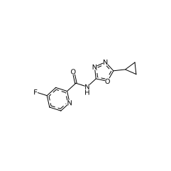 O=C(Nc1nnc(C2CC2)o1)c1cc(F)ccn1